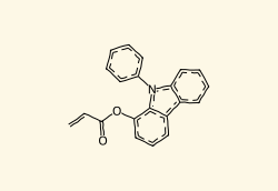 C=CC(=O)Oc1cccc2c3ccccc3n(-c3ccccc3)c12